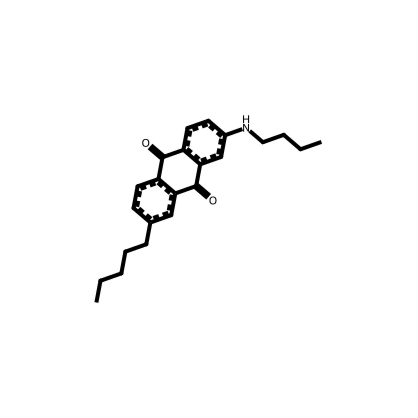 CCCCCc1ccc2c(c1)C(=O)c1cc(NCCCC)ccc1C2=O